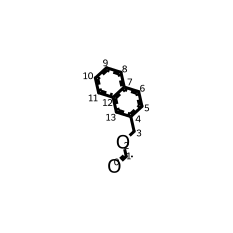 O=[C]OCc1ccc2ccccc2c1